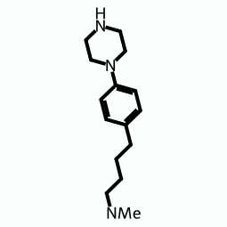 CNCCCCc1ccc(N2CCNCC2)cc1